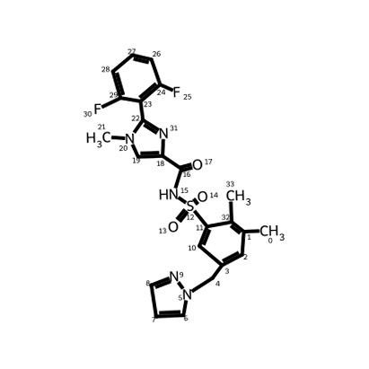 Cc1cc(Cn2cccn2)cc(S(=O)(=O)NC(=O)c2cn(C)c(-c3c(F)cccc3F)n2)c1C